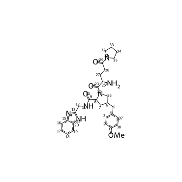 COc1ccc(CC2CC(C(=O)NCc3nc4ccccc4[nH]3)N(C(=O)C(N)CCC(=O)N3CCCC3)C2)cc1